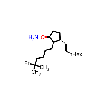 CCCCCCC=C[C@H]1CCC(=O)[C@@H]1CCCCC(C)(C)CC.N